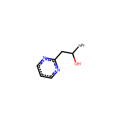 CCCC(O)Cc1ncccn1